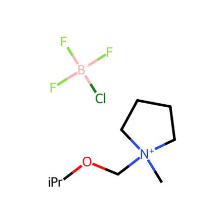 CC(C)OC[N+]1(C)CCCC1.F[B-](F)(F)Cl